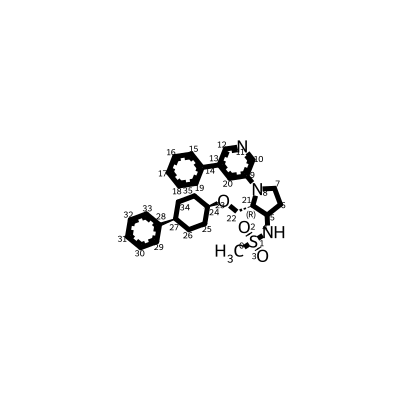 CS(=O)(=O)NC1CCN(c2cncc(-c3ccccc3)c2)[C@H]1CO[C@H]1CC[C@@H](c2ccccc2)CC1